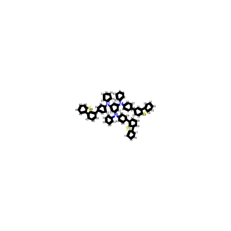 c1ccc(N(c2ccc(-c3ccc4sc5ccccc5c4c3)cc2)c2cc(N(c3ccccc3)c3ccc(-c4cccc5c4sc4ccccc45)cc3)cc(N(c3ccccc3)c3ccc(-c4cccc5c4sc4ccccc45)cc3)c2)cc1